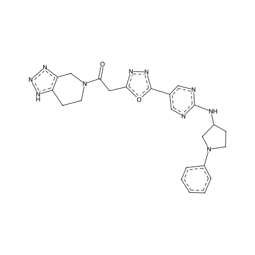 O=C(Cc1nnc(-c2cnc(NC3CCN(c4ccccc4)C3)nc2)o1)N1CCc2[nH]nnc2C1